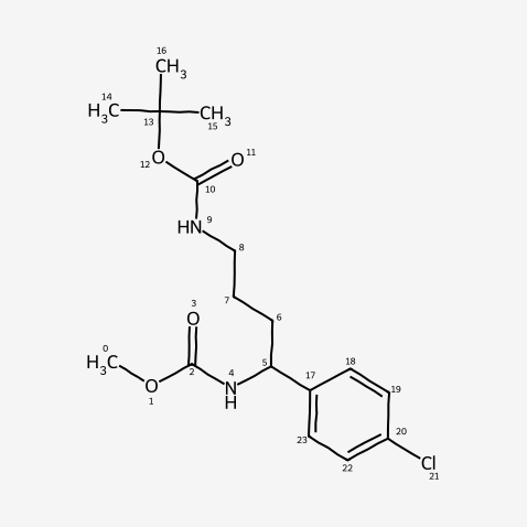 COC(=O)NC(CCCNC(=O)OC(C)(C)C)c1ccc(Cl)cc1